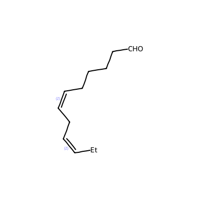 CC/C=C\C/C=C\CCCCC=O